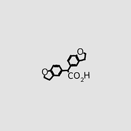 O=C(O)C(c1ccc2c(c1)CCO2)c1ccc2c(c1)CCO2